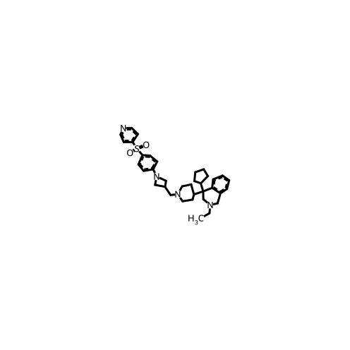 CCN1Cc2ccccc2C(C2CCCC2)(C2CCN(CC3CN(c4ccc(S(=O)(=O)c5ccncc5)cc4)C3)CC2)C1